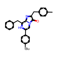 Cc1ccc(Cc2nc3c(Cc4ccccc4)[nH]c(-c4ccc(C(C)(C)C)cc4)cn-3c2=O)cc1